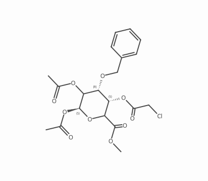 COC(=O)C1O[C@@H](OC(C)=O)C(OC(C)=O)[C@H](OCc2ccccc2)[C@@H]1OC(=O)CCl